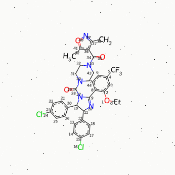 CCOc1cc(C(F)(F)F)ccc1C1=NC(c2ccc(Cl)cc2)C(c2ccc(Cl)cc2)N1C(=O)N1CCN(C(=O)c2c(C)noc2C)CC1